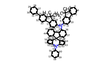 CC1(C)c2ccccc2-c2ccc(N(c3ccc4c(c3)C(C)(C)c3cc(-c5ccccc5)ccc3-4)c3cccc4c3-c3ccccc3C43c4ccccc4N(c4ccccc4)c4ccccc43)cc21